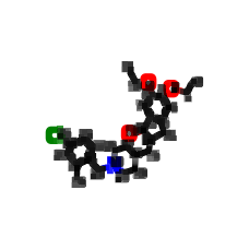 CCOc1cc2c(cc1OCC)C(=O)C(CC1CCN(Cc3ccc(Cl)cc3C)CC1)C2